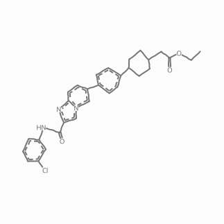 CCOC(=O)CC1CCC(c2ccc(-c3ccc4nc(C(=O)Nc5cccc(Cl)c5)cn4c3)cc2)CC1